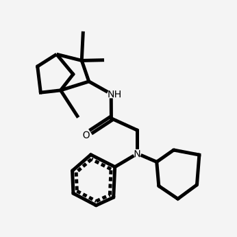 CC12CCC(C1)C(C)(C)C2NC(=O)CN(c1ccccc1)C1CCCCC1